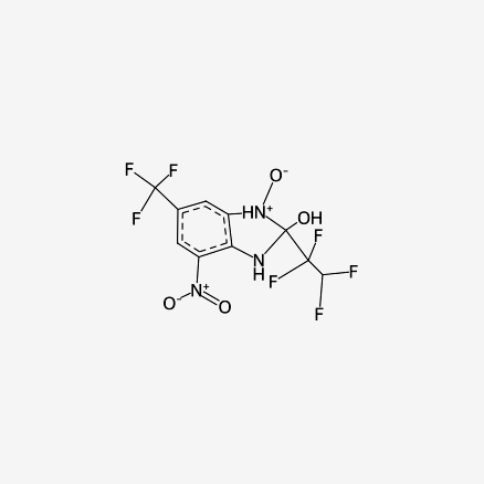 O=[N+]([O-])c1cc(C(F)(F)F)cc2c1NC(O)(C(F)(F)C(F)F)[NH+]2[O-]